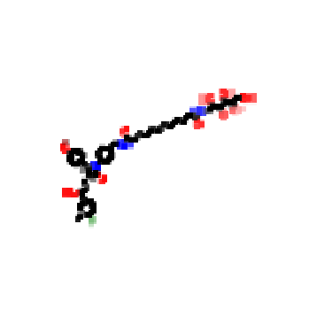 COc1ccc([C@@H]2[C@@H](CC[C@H](O)C3=CC(C)C(F)C=C3)C(=O)N2c2ccc(CNC(=O)CCCCCCCCCCC(=O)NC[C@H](O)[C@@H](O)[C@H](O)[C@H](O)CO)cc2)cc1